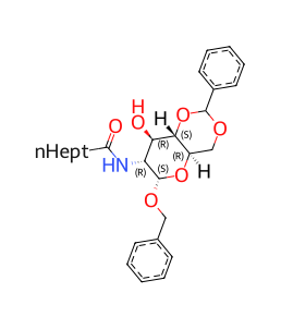 CCCCCCCC(=O)N[C@H]1[C@@H](OCc2ccccc2)O[C@@H]2COC(c3ccccc3)O[C@H]2[C@@H]1O